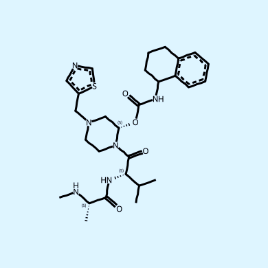 CN[C@@H](C)C(=O)N[C@H](C(=O)N1CCN(Cc2cncs2)C[C@@H]1OC(=O)NC1CCCc2ccccc21)C(C)C